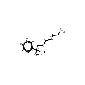 CCSCCSCC(C)(O)c1cccnc1